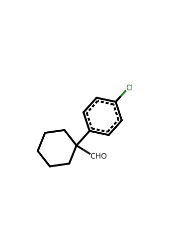 O=CC1(c2ccc(Cl)cc2)CCCCC1